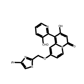 CC(C)c1csc(COc2ccn3c(=O)cc(O)c(-c4ncccc4C=O)c3c2)n1